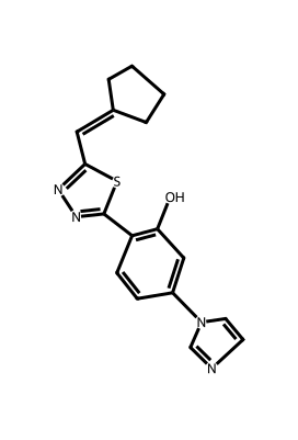 Oc1cc(-n2ccnc2)ccc1-c1nnc(C=C2CCCC2)s1